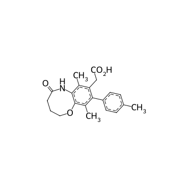 Cc1ccc(-c2c(C)c3c(c(C)c2CC(=O)O)NC(=O)CCCO3)cc1